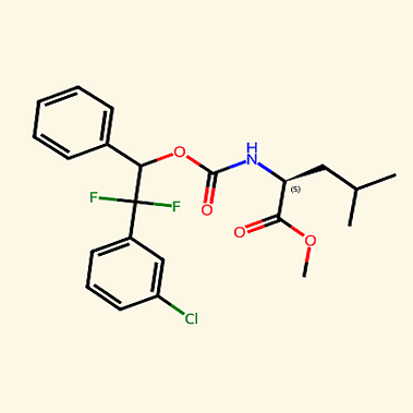 COC(=O)[C@H](CC(C)C)NC(=O)OC(c1ccccc1)C(F)(F)c1cccc(Cl)c1